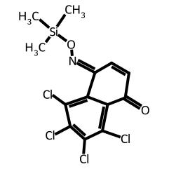 C[Si](C)(C)ON=C1C=CC(=O)c2c(Cl)c(Cl)c(Cl)c(Cl)c21